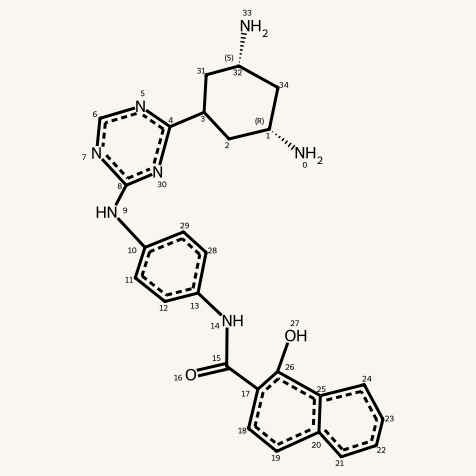 N[C@@H]1CC(c2ncnc(Nc3ccc(NC(=O)c4ccc5ccccc5c4O)cc3)n2)C[C@H](N)C1